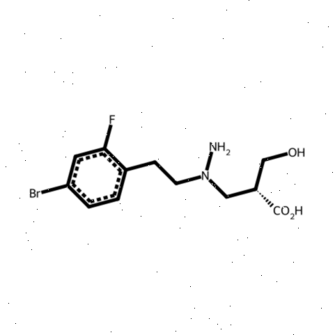 NN(CCc1ccc(Br)cc1F)C[C@H](CO)C(=O)O